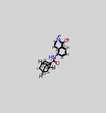 Cn1ccc2c(NC(=O)[C@@]34C[C@@H]5C[C@@H](C[C@@H]3C5)C4)cccc2c1=O